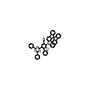 N#Cc1cc(-c2nc(-c3ccccc3)nc(-c3ccccc3)n2)c2c(oc3ccccc32)c1-n1c2ccccc2c2c3c(ccc21)-c1ccccc1C31c2ccccc2-c2ccccc21